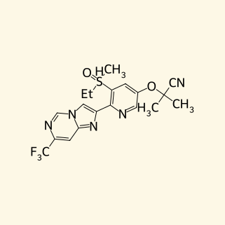 CC[SH](C)(=O)c1cc(OC(C)(C)C#N)cnc1-c1cn2cnc(C(F)(F)F)cc2n1